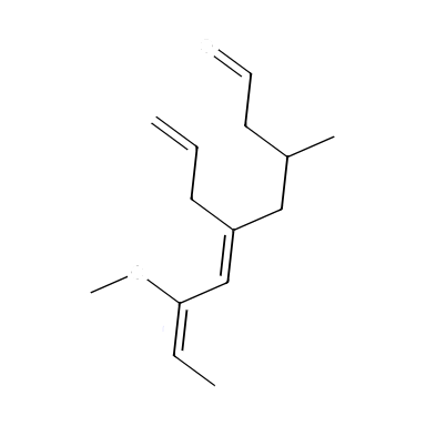 C=CC/C(=C\C(=C/C)OC)CC(C)CC=O